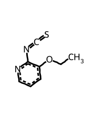 CCOc1cccnc1N=C=S